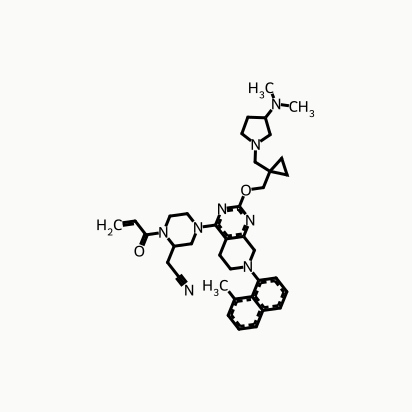 C=CC(=O)N1CCN(c2nc(OCC3(CN4CCC(N(C)C)C4)CC3)nc3c2CCN(c2cccc4cccc(C)c24)C3)CC1CC#N